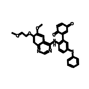 COCCOc1cc2ncnc(Nc3ccc(Sc4ccccc4)cc3C3=CC(=O)C=CC3=O)c2cc1OC